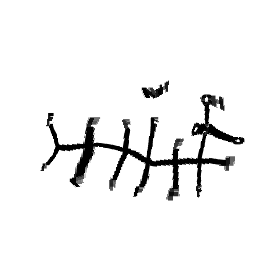 O=S(=O)(O)C(F)(F)C(F)(F)C(F)(F)C(F)(F)C(F)(F)C(F)F.[NaH]